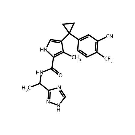 Cc1c(C2(c3ccc(C(F)(F)F)c(C#N)c3)CC2)c[nH]c1C(=O)NC(C)c1nc[nH]n1